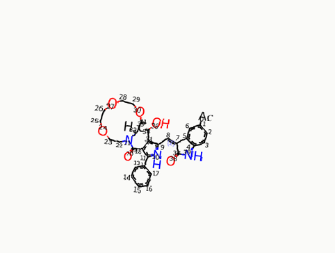 CC(=O)c1ccc2c(c1)/C(=C/c1[nH]c(-c3ccccc3)c(C(=O)N3CCOCCOCCOCC3)c1C(C)O)C(=O)N2